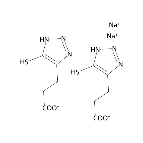 O=C([O-])CCc1nn[nH]c1S.O=C([O-])CCc1nn[nH]c1S.[Na+].[Na+]